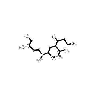 CCCC(C)C(CC(C)N(C)CC[C@H](C)CC)C(C)C